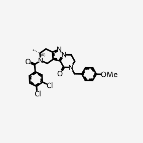 COc1ccc(CN2CCn3nc4c(c3C2=O)CN(C(=O)c2ccc(Cl)c(Cl)c2)[C@H](C)C4)cc1